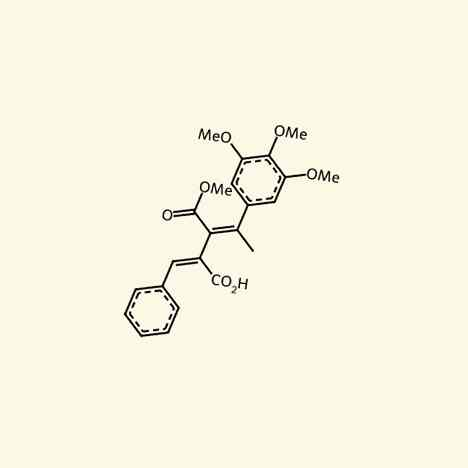 COC(=O)C(C(=Cc1ccccc1)C(=O)O)=C(C)c1cc(OC)c(OC)c(OC)c1